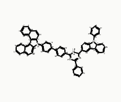 c1ccc(C2=NC(c3ccc4c(c3)c3ccccc3n4-c3ccccc3)NC(c3ccc(-c4ccc(-n5c6ccc7ccccc7c6c6c7ccccc7ccc65)cc4)cc3)=N2)cc1